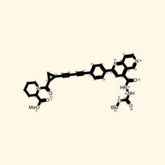 COC(=O)C1CCCCN1C(=O)C1CC1C#CC#Cc1ccc(-c2cc(C(=O)NNC(=O)OC(C)(C)C)c3cnccc3n2)cc1